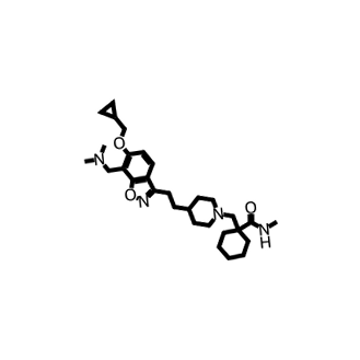 CNC(=O)C1(CN2CCC(CCc3noc4c(CN(C)C)c(OCC5CC5)ccc34)CC2)CCCCC1